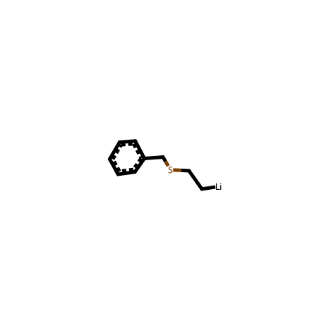 [Li][CH2]CSCc1ccccc1